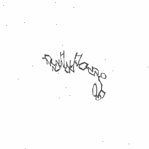 Cc1cccc(-c2nccc(Nc3ccnc(Nc4ccc(N5CCN(C(=O)CCC6CCOC6=O)CC5)cc4)n3)n2)n1